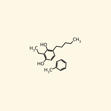 CCCCCc1ccc(O)c(CC)c1O.Cc1ccccc1